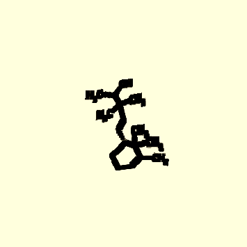 CC1=CCC[C@H](/C=C/C(C)(C)C(C)O)C1(C)C